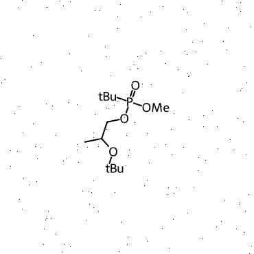 COP(=O)(OCC(C)OC(C)(C)C)C(C)(C)C